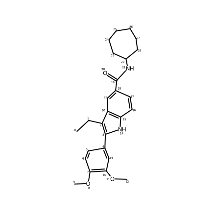 CCc1c(-c2ccc(OC)c(OC)c2)[nH]c2ccc(C(=O)NC3CCCCCC3)cc12